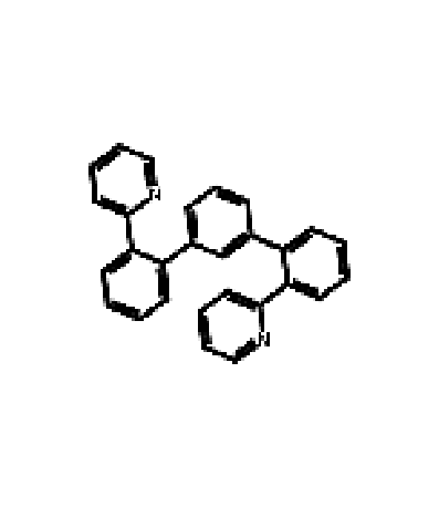 c1ccc(-c2ccccc2-c2cccc(-c3ccccc3-c3ccccn3)c2)nc1